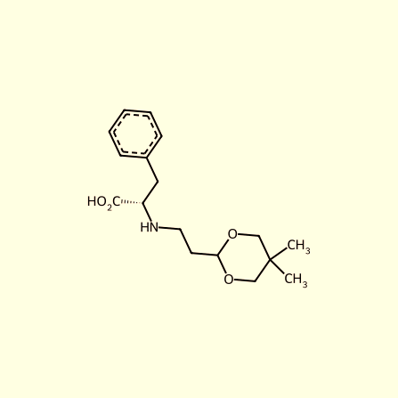 CC1(C)COC(CCN[C@@H](Cc2ccccc2)C(=O)O)OC1